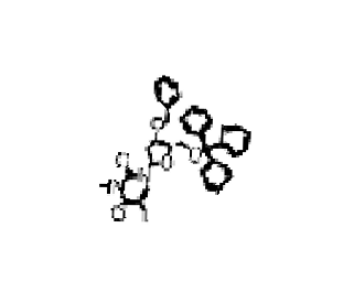 O=c1[nH]c(=O)n([C@H]2C[C@H](OCc3ccccc3)[C@@H](COC(c3ccccc3)(c3ccccc3)c3ccccc3)O2)cc1I